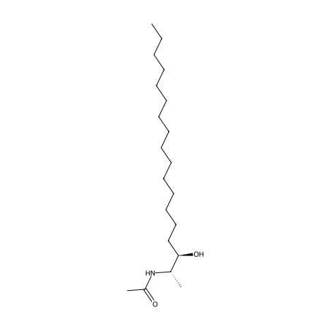 CCCCCCCCCCCCCCC[C@@H](O)[C@H](C)NC(C)=O